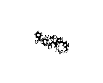 COc1cnc(-c2cnc(CC(C)C)s2)c2[nH]cc(C(=O)C(=O)N3CCN(C(=O)c4ccccc4)CC3)c12